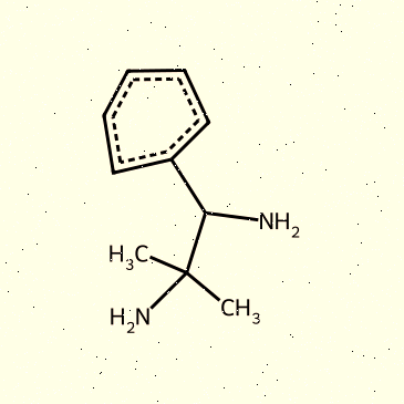 CC(C)(N)C(N)c1ccccc1